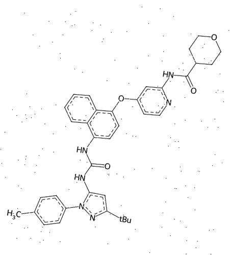 Cc1ccc(-n2nc(C(C)(C)C)cc2NC(=O)Nc2ccc(Oc3ccnc(NC(=O)C4CCOCC4)c3)c3ccccc23)cc1